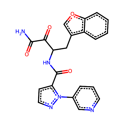 NC(=O)C(=O)C(Cc1coc2ccccc12)NC(=O)c1ccnn1-c1cccnc1